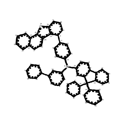 c1ccc(-c2cccc(N(c3ccc(-c4cccc5oc6c7ccccc7ccc6c45)cc3)c3ccc4c(c3)C(c3ccccc3)(c3ccccc3)c3ccccc3-4)c2)cc1